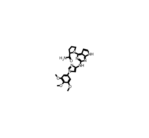 COc1cc(-n2cnc(Nc3nc(N4CCCC4C(N)=O)c4cc[nH]c4n3)c2)cc(OC)c1OC